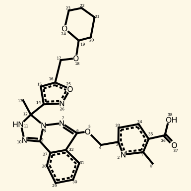 Cc1nc(COC2=NN3C(=NNC3(C)c3cc(COC4CCCCO4)on3)c3ccccc32)ccc1C(=O)O